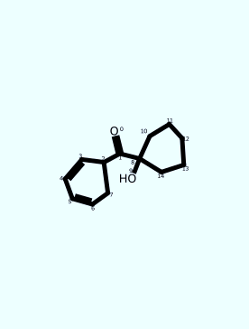 O=C(C1C=CC=CC1)C1(O)CCCCC1